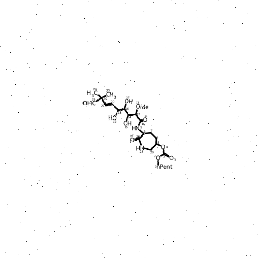 CCCCCOC(=O)OC1CCC(NC(=O)C(OC)C(O)C(O)C(O)C=CC(C)(C)C=O)C(=O)NC1